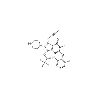 CC#CCN1c2c(nc(Oc3c(F)cccc3F)n(C)c2=O)N(OC(=O)C(F)(F)F)C1N1CCNCC1